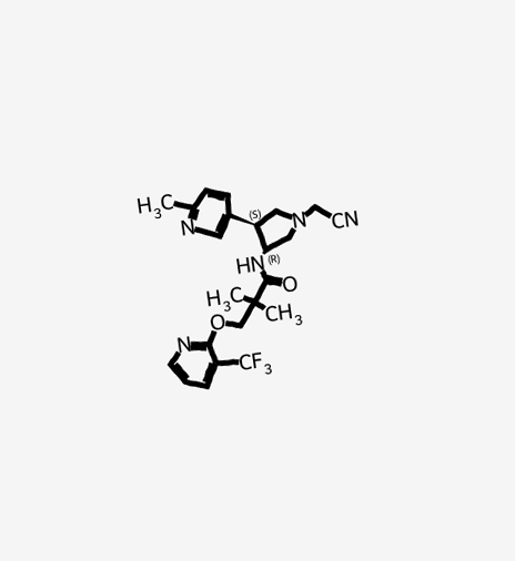 Cc1ccc([C@H]2CN(CC#N)C[C@@H]2NC(=O)C(C)(C)COc2ncccc2C(F)(F)F)cn1